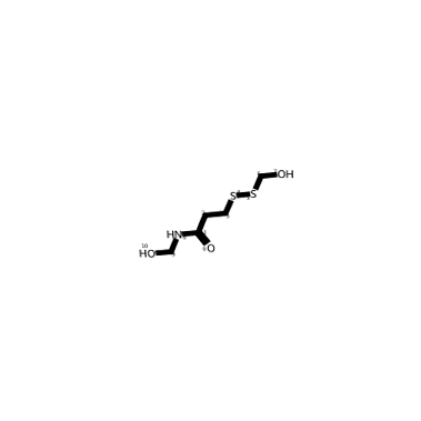 O=C(CCSSCO)NCO